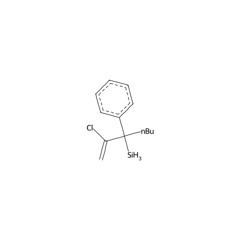 C=C(Cl)C([SiH3])(CCCC)c1ccccc1